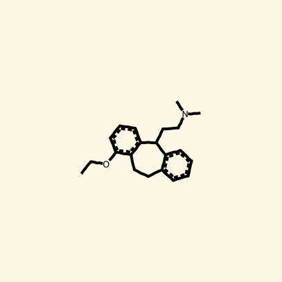 CCOc1cccc2c1CCc1ccccc1C2CCN(C)C